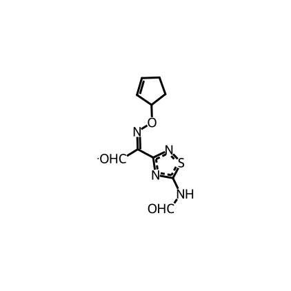 O=[C]C(=NOC1C=CCC1)c1nsc(NC=O)n1